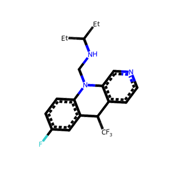 CCC(CC)NCN1c2ccc(F)cc2C(C(F)(F)F)c2ccncc21